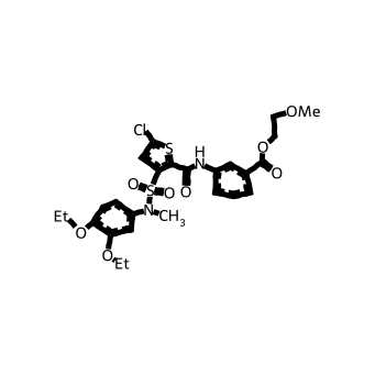 CCOc1ccc(N(C)S(=O)(=O)c2cc(Cl)sc2C(=O)Nc2cccc(C(=O)OCCOC)c2)cc1OCC